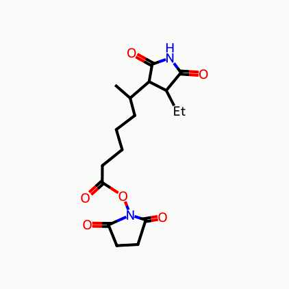 CCC1C(=O)NC(=O)C1C(C)CCCCC(=O)ON1C(=O)CCC1=O